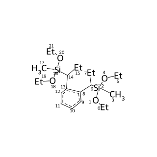 CCO[Si](C)(OCC)C(CC)c1ccccc1C(CC)[Si](C)(OCC)OCC